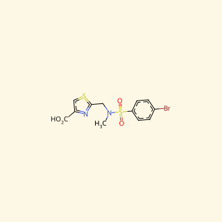 CN(Cc1nc(C(=O)O)cs1)S(=O)(=O)c1ccc(Br)cc1